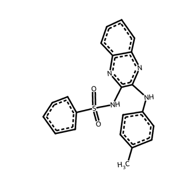 Cc1ccc(Nc2nc3ccccc3nc2NS(=O)(=O)c2ccccc2)cc1